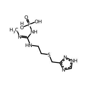 CN=C(NCCSCc1nc[nH]n1)NP(=O)(O)O